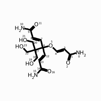 NC(=O)C=COC(C=CC(N)=O)(C=CC(N)=O)C(CO)(CO)CO